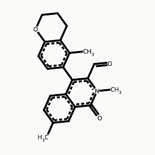 Cc1ccc2c(-c3ccc4c(c3C)CCCO4)c(C=O)n(C)c(=O)c2c1